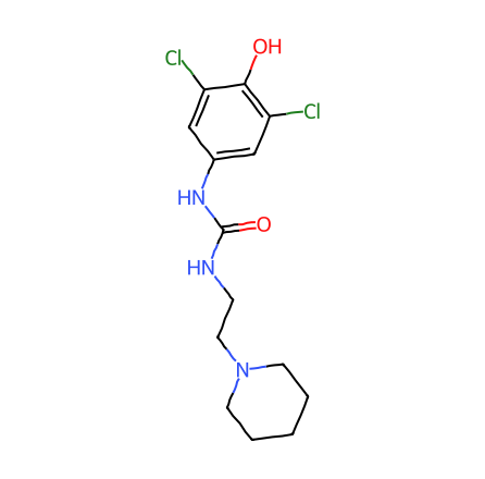 O=C(NCCN1CCCCC1)Nc1cc(Cl)c(O)c(Cl)c1